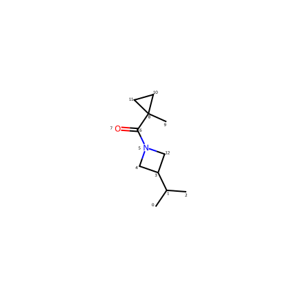 CC(C)C1CN(C(=O)C2(C)CC2)C1